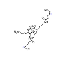 CC/C=C\CCC(=O)NCCCCN(CCCNC(=O)CC/C=C\CC)C(=O)[C@H](CO)NC(=O)[C@@H](N)CCCCN